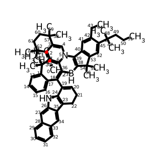 C=C=C1/C(=C\N2C3=C(C)C(C)(C)c4ccccc4C(C4=CCCc5c4[nH]c4cc6ccccc6cc54)=C3BC3=C2c2cc(CC)c(C(C)(C)CCC)cc2C3(C)C)C(C)(C)CCC1(C)C